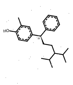 Cc1cc([C@H](CCC(C(C)C)C(C)C)c2ccccc2)ccc1O